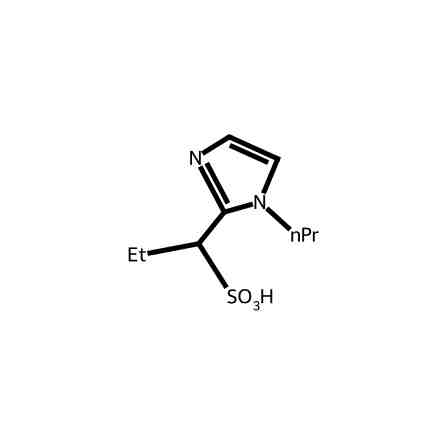 CCCn1ccnc1C(CC)S(=O)(=O)O